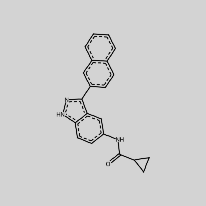 O=C(Nc1ccc2[nH]nc(-c3ccc4ccccc4c3)c2c1)C1CC1